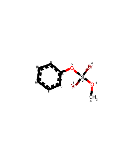 CO[Si](Br)(Br)Oc1ccccc1